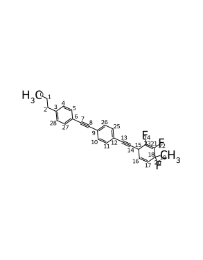 CCCc1ccc(C#Cc2ccc(C#CC3C=CC(C)(F)C(F)=C3F)cc2)cc1